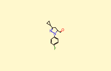 O=CC1CC(C2CC2)=NN1c1ccc(F)cc1